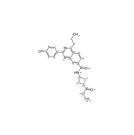 CCCc1nc(-c2ccc(Cl)cc2)nc2cc(C(=O)NC3CC(C(=O)OC)C3)ccc12